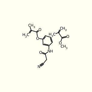 C=C(C)C(=O)OC.C=C(C)C(=O)Oc1cccc(NC(=O)CC#N)c1